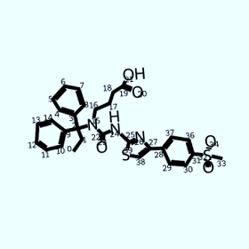 CCC(c1ccccc1)(c1ccccc1)N(CCCC(=O)O)C(=O)Nc1nc(-c2ccc(S(C)(=O)=O)cc2)cs1